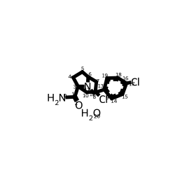 NC(=O)C12CCC(CC(Cl)C1)N2Cc1ccc(Cl)cc1.O